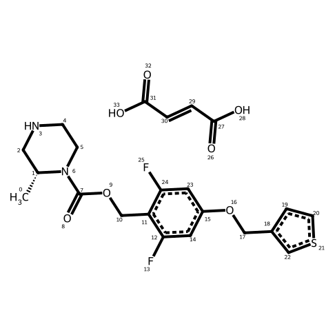 C[C@@H]1CNCCN1C(=O)OCc1c(F)cc(OCc2ccsc2)cc1F.O=C(O)C=CC(=O)O